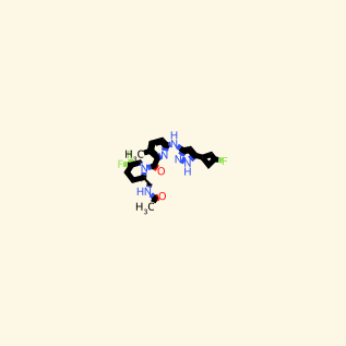 CC(=O)NC[C@H]1CCC(F)(F)CN1C(=O)c1nc(Nc2cc(C3CC(F)C3)[nH]n2)ccc1C